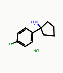 Cl.NC1(c2ccc(F)cc2)CCCC1